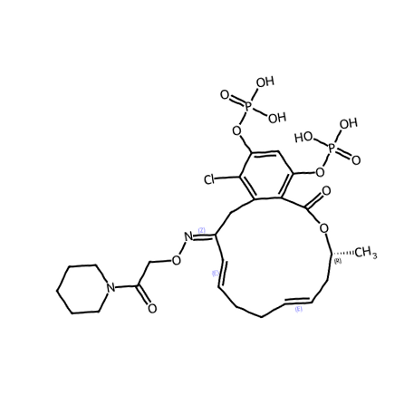 C[C@@H]1C/C=C/CC/C=C/C(=N\OCC(=O)N2CCCCC2)Cc2c(Cl)c(OP(=O)(O)O)cc(OP(=O)(O)O)c2C(=O)O1